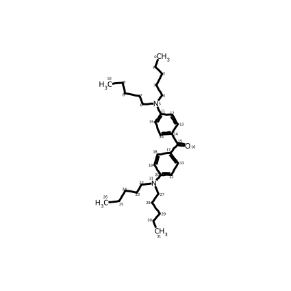 CCCCCN(CCCCC)c1ccc(C(=O)c2ccc(N(CCCCC)CCCCC)cc2)cc1